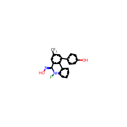 ON=C(NF)c1cc(C(F)(F)F)cc(-c2ccc(O)cc2)c1-c1ccccc1